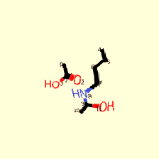 CC(=O)O.CCCCNC(C)O